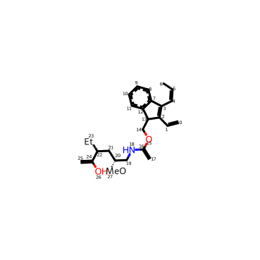 C=CC1=C(/C=C\C)c2ccccc2C1COC(=C)NC[C@@H](CC(CC)C(=C)O)OC